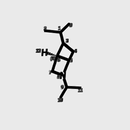 CC(C)C1CC2[C@H]1CN2C(C)C